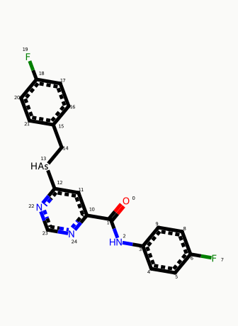 O=C(Nc1ccc(F)cc1)c1cc([AsH]Cc2ccc(F)cc2)ncn1